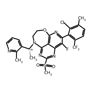 Cc1ccc(C(F)(F)F)c(-c2nc3c4c(nc(S(C)(=O)=O)nc4c2F)N([C@H](C)c2cccnc2C)CCO3)c1Cl